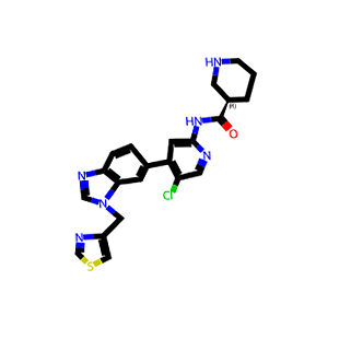 O=C(Nc1cc(-c2ccc3ncn(Cc4cscn4)c3c2)c(Cl)cn1)[C@@H]1CCCNC1